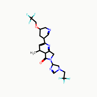 CC1C=C(C2C=NCC(OCC(F)(F)F)C2)N=C2CN(C3CN(CC(F)(F)F)C=N3)C(=O)C21